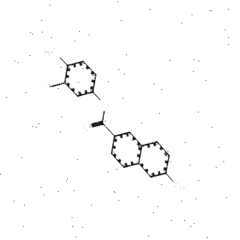 O=C(Oc1ccc(O)c(Cl)c1)c1ccc2cc(O)ccc2c1